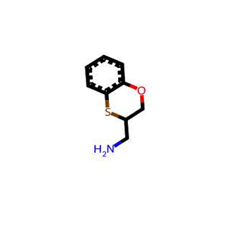 NCC1COc2ccccc2S1